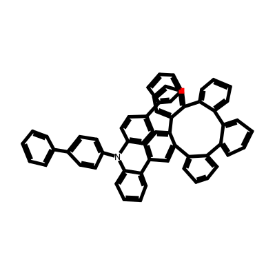 c1ccc(-c2ccc(N(c3ccc(-c4ccccc4)cc3)c3ccccc3-c3ccc4c5ccccc5c5ccccc5c5ccccc5c5ccccc5c4c3)cc2)cc1